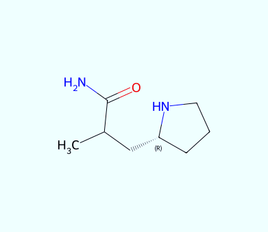 CC(C[C@H]1CCCN1)C(N)=O